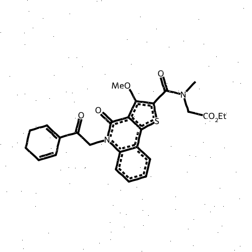 CCOC(=O)CN(C)C(=O)c1sc2c(c1OC)c(=O)n(CC(=O)C1=CCCC=C1)c1ccccc21